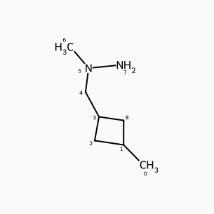 CC1CC(CN(C)N)C1